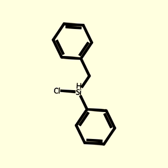 Cl[SiH](Cc1ccccc1)c1ccccc1